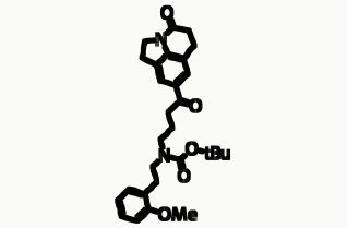 COc1ccccc1CCN(CCCC(=O)c1cc2c3c(c1)CCN3C(=O)CC2)C(=O)OC(C)(C)C